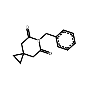 O=C1CC2(CC2)CC(=O)N1Cc1ccccc1